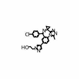 Cc1nnc2n1-c1ccc(-c3cnn(CCO)c3)cc1C(c1ccc(Cl)cc1)=NC21CC1